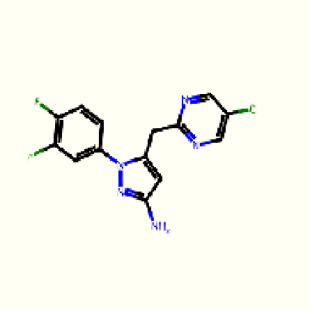 Nc1cc(Cc2ncc(Cl)cn2)n(-c2ccc(F)c(F)c2)n1